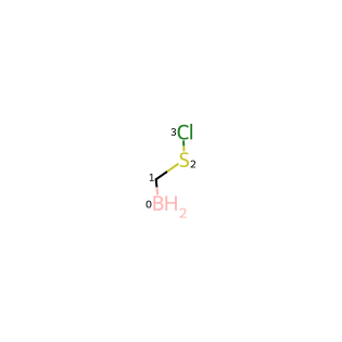 BCSCl